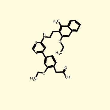 CCOc1cc(-c2cc(NCCc3c(OCC)cc4ccccc4c3C)ncn2)ccc1CC(=O)O